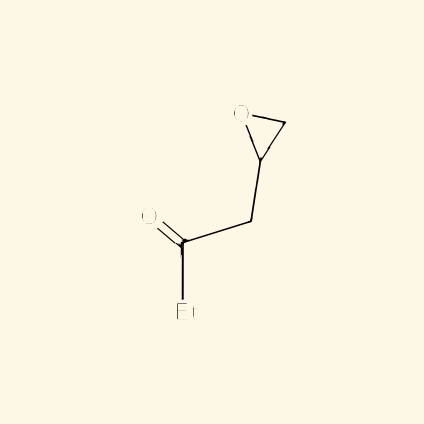 [CH2]CC(=O)CC1CO1